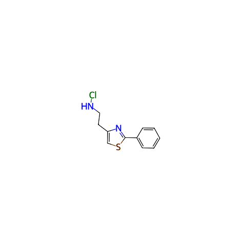 ClNCCc1csc(-c2ccccc2)n1